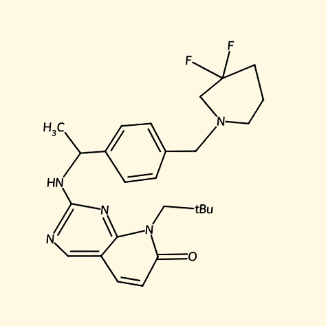 CC(Nc1ncc2ccc(=O)n(CC(C)(C)C)c2n1)c1ccc(CN2CCCC(F)(F)C2)cc1